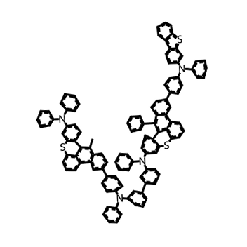 Cc1c2c3c(cccc3c3cc(-c4ccc(N(c5ccccc5)c5cccc(-c6cccc(N(c7ccccc7)c7ccc8c(c7)Sc7cccc9c7c-8c(-c7ccccc7)c7ccc(-c8ccc(N(c%10ccccc%10)c%10ccc%11c(c%10)sc%10ccccc%10%11)cc8)cc79)c6)c5)cc4)ccc13)Sc1cc(N(c3ccccc3)c3ccccc3)ccc1-2